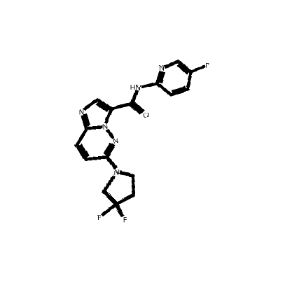 O=C(Nc1ccc(F)cn1)c1cnc2ccc(N3CCC(F)(F)C3)nn12